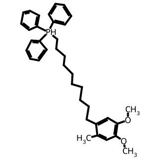 COc1cc(C)c(CCCCCCCCCC[PH](c2ccccc2)(c2ccccc2)c2ccccc2)cc1OC